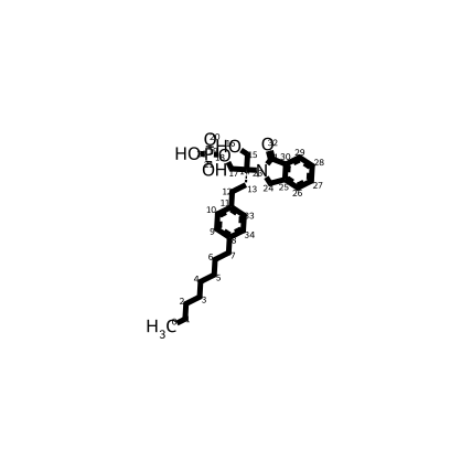 CCCCCCCCc1ccc(CC[C@@](CO)(COP(=O)(O)O)N2Cc3ccccc3C2=O)cc1